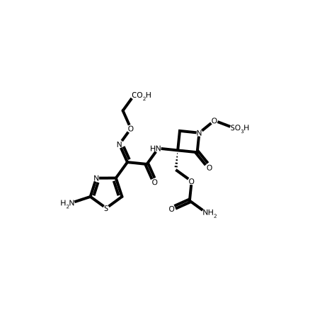 NC(=O)OC[C@]1(NC(=O)C(=NOCC(=O)O)c2csc(N)n2)CN(OS(=O)(=O)O)C1=O